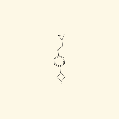 c1cc(C2CNC2)ccc1OCC1CC1